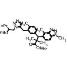 CCCCC(CCC)Cn1nncc1Cc1cc(C(c2ccc3c(nnn3C)c2C)C(C)(C)C(=O)OC)ccc1C